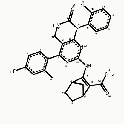 Cc1cc(F)ccc1-c1nc(NC2=C(C(N)=O)C3CCC2C3)nc2c1CNC(=O)N2c1ccccc1Cl